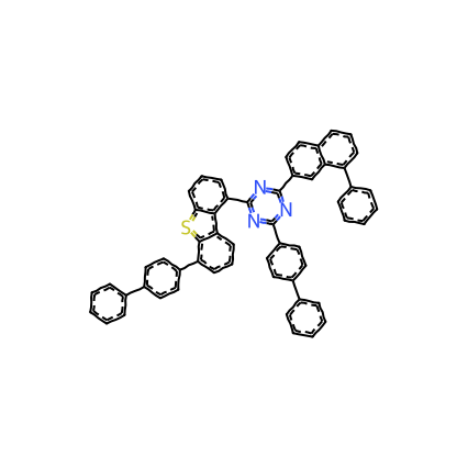 c1ccc(-c2ccc(-c3nc(-c4ccc5cccc(-c6ccccc6)c5c4)nc(-c4cccc5sc6c(-c7ccc(-c8ccccc8)cc7)cccc6c45)n3)cc2)cc1